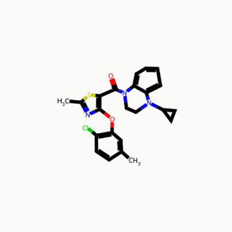 Cc1ccc(Cl)c(Oc2nc(C)sc2C(=O)N2CCN(C3CC3)c3ccccc32)c1